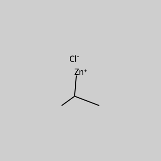 C[CH](C)[Zn+].[Cl-]